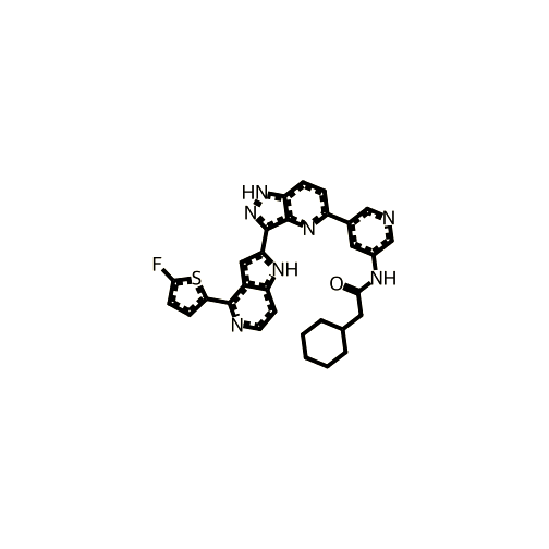 O=C(CC1CCCCC1)Nc1cncc(-c2ccc3[nH]nc(-c4cc5c(-c6ccc(F)s6)nccc5[nH]4)c3n2)c1